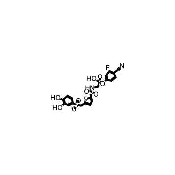 N#Cc1ccc(OP(=O)(O)CNS(=O)(=O)c2ccc(CS(=O)(=O)c3ccc(O)c(O)c3)s2)cc1F